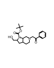 CC(C)(C)OC(=O)N1C(CO)CC2CCN(CC(=O)c3ccccc3)CC21